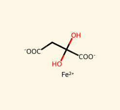 O=C([O-])CC(O)(O)C(=O)[O-].[Fe+2]